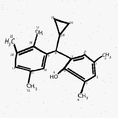 Cc1cc(C)c(O)c(C(c2cc(C)cc(C)c2O)C2CC2)c1